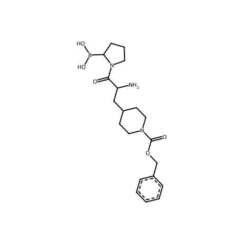 NC(CC1CCN(C(=O)OCc2ccccc2)CC1)C(=O)N1CCCC1B(O)O